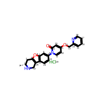 C[C@@H]1Cc2oc3cc(-n4ccc(OCc5ccccn5)cc4=O)ccc3c2CN1.Cl